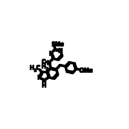 COc1ccc(Cc2ccc3[nH]nc(C)c3c2N(C)c2ccnc(SC)n2)cc1